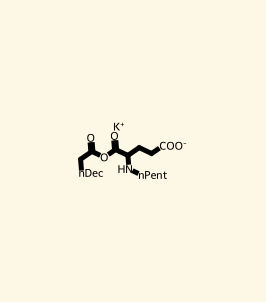 CCCCCCCCCCCC(=O)OC(=O)C(CCC(=O)[O-])NCCCCC.[K+]